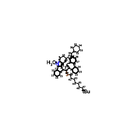 CC1=Cc2c3c(n(C)c2CC1)-c1ccccc1C3C(Cc1ccccc1-c1ccc(CC2CCCCC2)cc1C)SCCCCCCCC(C)(C)C